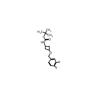 CC(C)(C)OC(=O)NC1CC(OCc2ccc(F)c(F)c2)C1